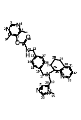 Cc1ncnc(C)c1OC(=O)NCc1ccc(CN(Cc2cncn2C)C2CCCc3cccnc32)cc1